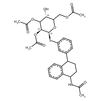 CC(=O)NC1CCC(c2cccc(S[C@@H]3OC(COC(C)=O)[C@@H](O)C(OC(C)=O)[C@@H]3OC(C)=O)c2)c2ccccc21